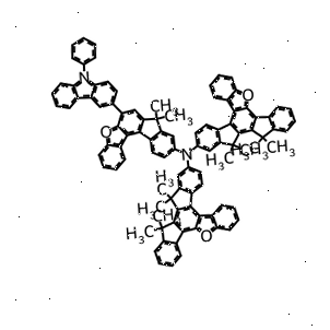 CC1(C)c2cc(N(c3ccc4c(c3)C(C)(C)c3c5c(c6oc7ccccc7c6c3-4)-c3ccccc3C5(C)C)c3ccc4c(c3)C(C)(C)c3c5c(c6oc7ccccc7c6c3-4)-c3ccccc3C5(C)C)ccc2-c2c1cc(-c1ccc3c(c1)c1ccccc1n3-c1ccccc1)c1oc3ccccc3c21